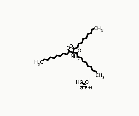 CCCCCCCCCC(=O)C(N)(C(=O)CCCCCCCCC)C(=O)CCCCCCCCC.O=S(=O)(O)O